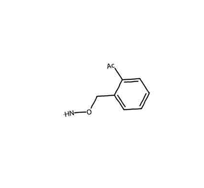 CC(=O)c1ccccc1CO[NH]